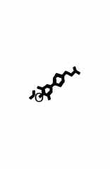 Cc1cc(-c2ccc(CCC(C)C)cc2)cc(C)c1OC(C)C